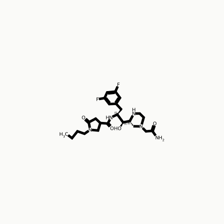 CCCCN1CC(C(=O)N[C@@H](Cc2cc(F)cc(F)c2)[C@H](O)[C@H]2CN(CC(N)=O)CCN2)CC1=O